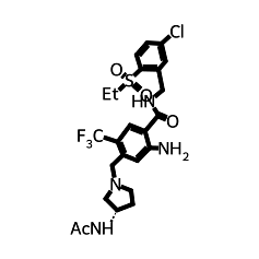 CCS(=O)(=O)c1ccc(Cl)cc1CNC(=O)c1cc(C(F)(F)F)c(CN2CC[C@H](NC(C)=O)C2)cc1N